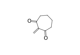 C=C1C(=O)CCCCC1=O